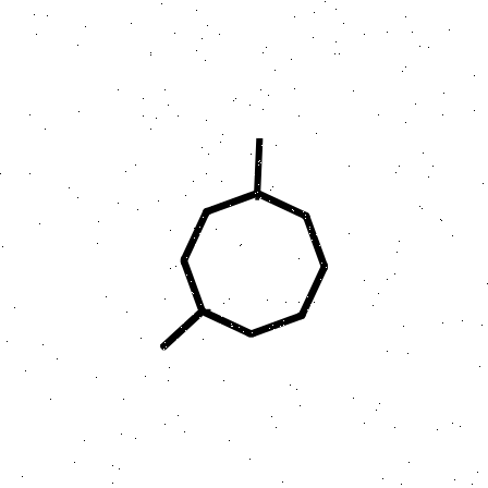 C[C]1CCCC[C](C)CC1